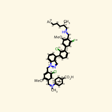 COc1cc(Cn2ncc3c(-c4cccc(-c5cc(F)c(CNC[C@@H](C)CCCC(C)=O)c(OC)c5)c4Cl)cccc32)c(Cl)cc1CN(C)C12CCC(C(=O)O)(CC1)CC2